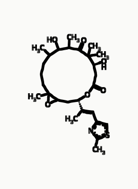 C/C(=C\c1csc(C)n1)[C@@H]1CC2OC2(C)CCCC(C)C(O)C(C)C(=O)C(C)(C)[C@@H](O)CC(=O)O1